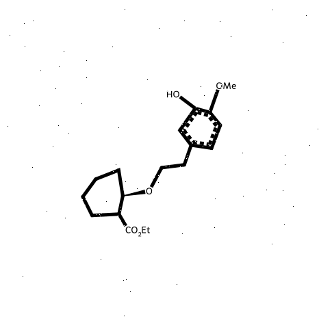 CCOC(=O)C1CCCC[C@H]1OCCc1ccc(OC)c(O)c1